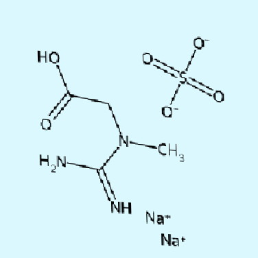 CN(CC(=O)O)C(=N)N.O=S(=O)([O-])[O-].[Na+].[Na+]